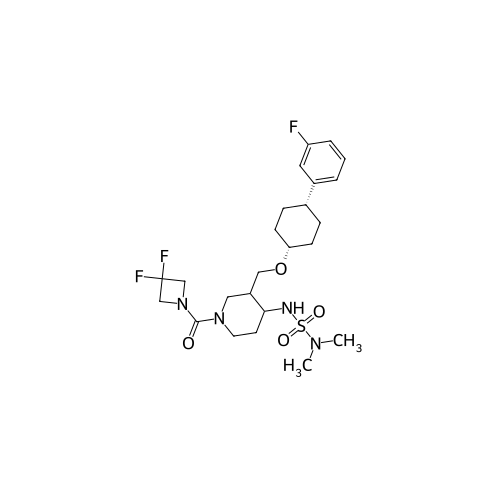 CN(C)S(=O)(=O)NC1CCN(C(=O)N2CC(F)(F)C2)CC1CO[C@H]1CC[C@@H](c2cccc(F)c2)CC1